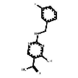 O=C(O)c1cnc(NCc2cccc(Cl)c2)nc1O